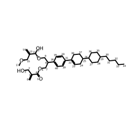 C=C(CO)C(=O)OCC(COC(O)C(=C)COC)c1ccc(C2=CCC(C3CCC(CCCCC)CC3)CC2)cc1